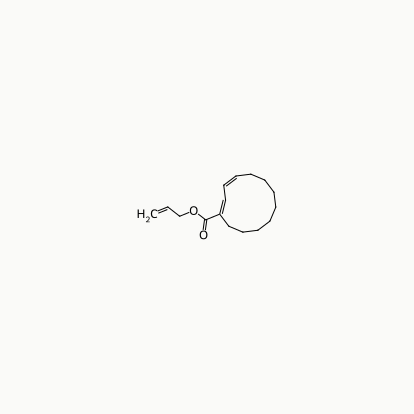 C=CCOC(=O)/C1=C\C=C/CCCCCCCC1